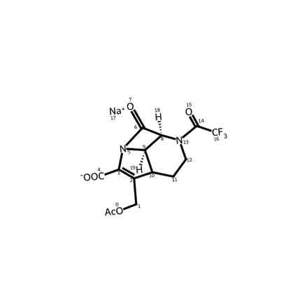 CC(=O)OCC1=C(C(=O)[O-])N2C(=O)[C@@H]3[C@H]2C1CCN3C(=O)C(F)(F)F.[Na+]